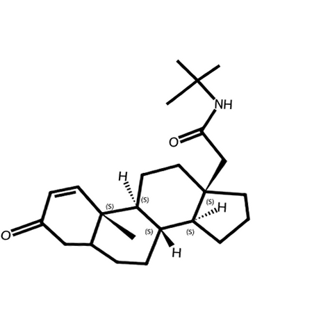 CC(C)(C)NC(=O)C[C@@]12CCC[C@H]1[C@@H]1CCC3CC(=O)C=C[C@]3(C)[C@H]1CC2